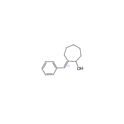 OC1CCCCC/C1=C\c1ccccc1